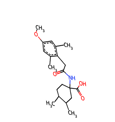 COc1cc(C)c(CC(=O)NC2(C(=O)O)CCC(C)C(C)C2)c(C)c1